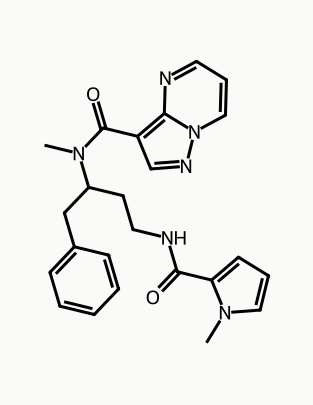 CN(C(=O)c1cnn2cccnc12)C(CCNC(=O)c1cccn1C)Cc1ccccc1